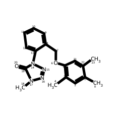 Cc1cc(C)c(OCc2ccccc2-n2nnn(C)c2=O)cc1C